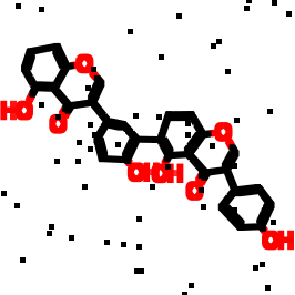 O=c1c(-c2ccc(O)c(-c3ccc4occ(-c5ccc(O)cc5)c(=O)c4c3O)c2)coc2cccc(O)c12